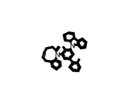 C=C1CC/C=C\Cc2ccccc2N1c1cc(-c2ccccc2C)cc(N2c3ccccc3C3C=CC=CC32)c1C